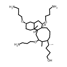 CC1C(OCCCN)C[C@H]2[C@H](CCCC1[C@H](C)CCCO)[C@H](OCCCN)CC1C[C@H](OCCCN)CCC12C